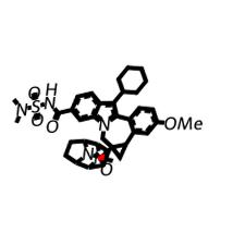 COc1ccc2c(c1)C1CC1(C(=O)N1C3CCC1C1CCC3N1C)Cn1c-2c(C2CCCCC2)c2ccc(C(=O)NS(=O)(=O)N(C)C)cc21